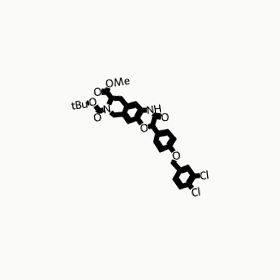 COC(=O)C1Cc2cc3c(cc2CN1C(=O)OC(C)(C)C)OC(c1ccc(OCc2ccc(Cl)c(Cl)c2)cc1)C(=O)N3